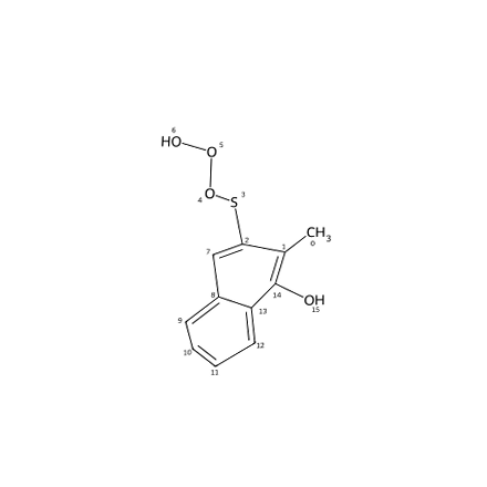 Cc1c(SOOO)cc2ccccc2c1O